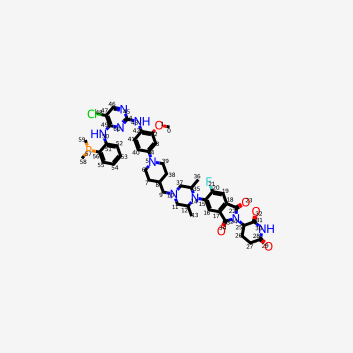 COc1cc(N2CCC(CN3CC(C)N(c4cc5c(cc4F)C(=O)N(C4CCC(=O)NC4=O)C5=O)C(C)C3)CC2)ccc1Nc1ncc(Cl)c(Nc2ccccc2P(C)C)n1